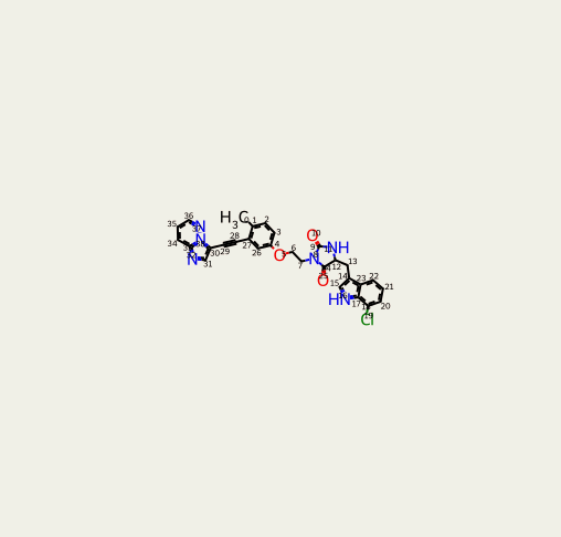 Cc1ccc(OCCN2C(=O)NC(Cc3c[nH]c4c(Cl)cccc34)C2=O)cc1C#Cc1cnc2cccnn12